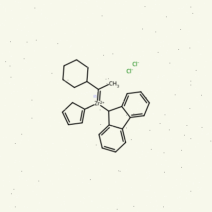 C/[C](C1CCCCC1)=[Zr+2](/[C]1=CC=CC1)[CH]1c2ccccc2-c2ccccc21.[Cl-].[Cl-]